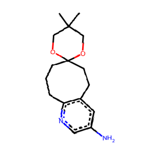 CC1(C)COC2(CCCc3ncc(N)cc3CC2)OC1